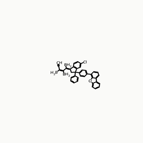 B/C(C#C)=C(B)/C(B)=C1\CC(c2ccccc2)(c2ccc(-c3cccc4c3oc3ccccc34)cc2)c2cc(Cl)ccc21